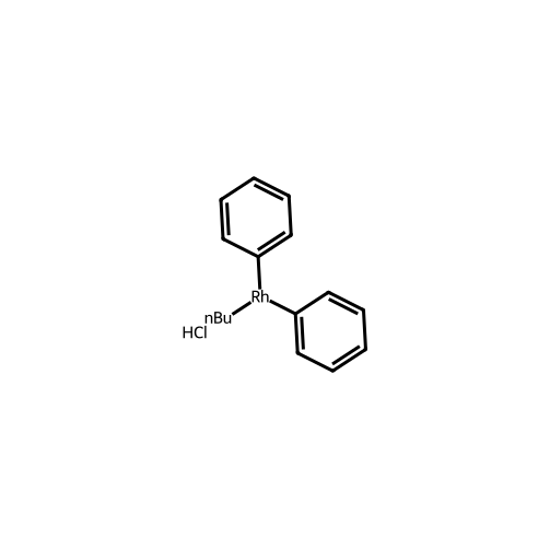 CCC[CH2][Rh]([c]1ccccc1)[c]1ccccc1.Cl